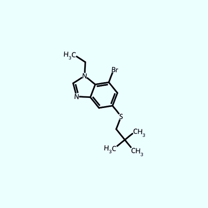 CCn1cnc2cc(SCC(C)(C)C)cc(Br)c21